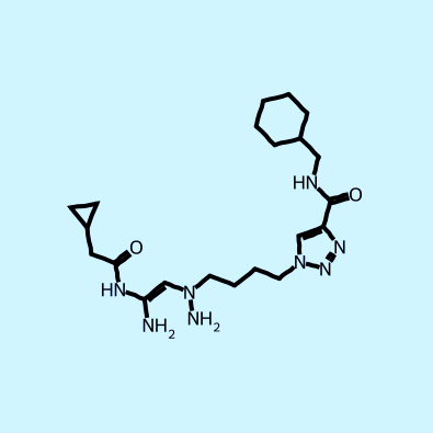 N/C(=C\N(N)CCCCn1cc(C(=O)NCC2CCCCC2)nn1)NC(=O)CC1CC1